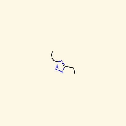 CCC1=NC(CC)=[N+][N]1